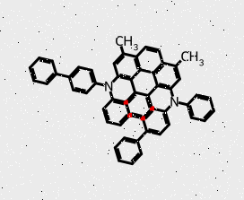 Cc1cc(N(c2ccccc2)c2ccc(-c3ccccc3)cc2)c2c3ccccc3c3c(N(c4ccccc4)c4ccc(-c5ccccc5)cc4)cc(C)c4ccc1c2c43